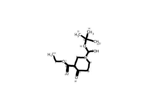 CCOC(=O)C1CN(C(O)OC(C)(C)C)CCC1=O